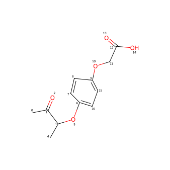 CC(=O)C(C)Oc1ccc(OCC(=O)O)cc1